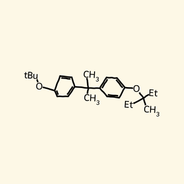 CCC(C)(CC)Oc1ccc(C(C)(C)c2ccc(OC(C)(C)C)cc2)cc1